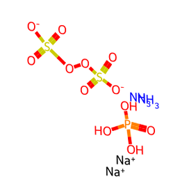 N.N.O=P(O)(O)O.O=S(=O)([O-])OOS(=O)(=O)[O-].[Na+].[Na+]